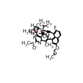 COCOc1cc(-c2oc(=O)c3c(N4CC[C@H]4C)nc([S+](C)[O-])nc3c2C)c2c(C#C[Si](C(C)C)(C(C)C)C(C)C)c(F)ccc2c1